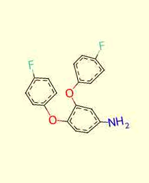 Nc1ccc(Oc2ccc(F)cc2)c(Oc2ccc(F)cc2)c1